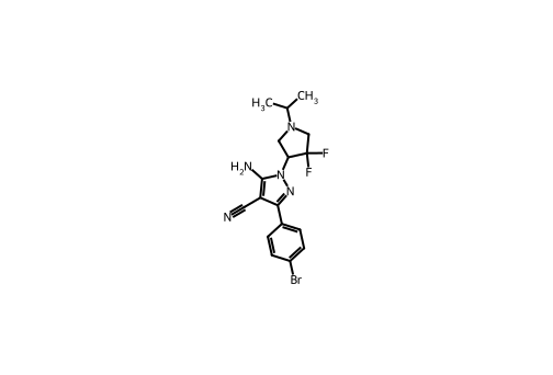 CC(C)N1CC(n2nc(-c3ccc(Br)cc3)c(C#N)c2N)C(F)(F)C1